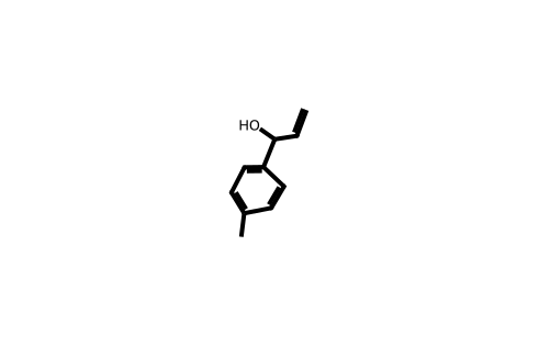 C=CC(O)c1ccc(C)cc1